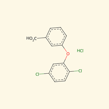 Cl.O=C(O)c1cccc(Oc2cc(Cl)ccc2Cl)c1